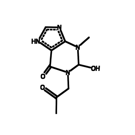 CC(=O)CN1C(=O)c2[nH]cnc2N(C)C1O